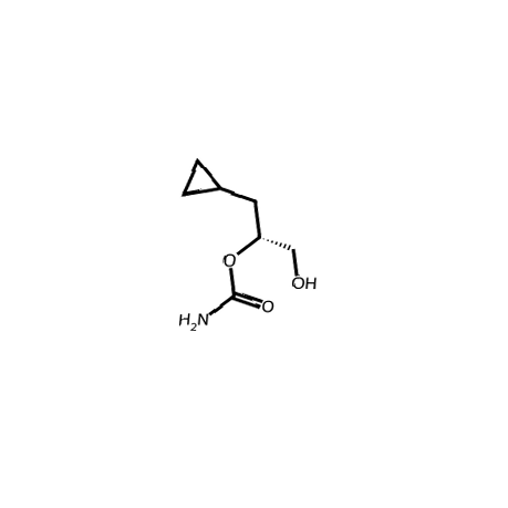 NC(=O)O[C@@H](CO)CC1CC1